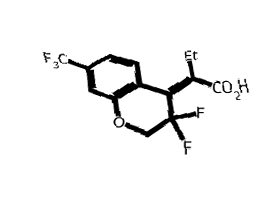 CC/C(C(=O)O)=C1\c2ccc(C(F)(F)F)cc2OCC1(F)F